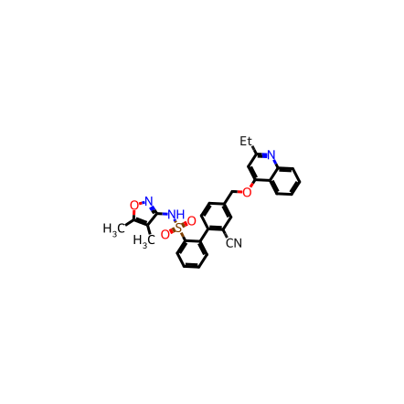 CCc1cc(OCc2ccc(-c3ccccc3S(=O)(=O)Nc3noc(C)c3C)c(C#N)c2)c2ccccc2n1